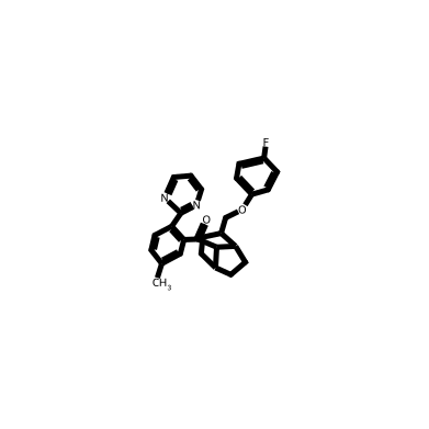 Cc1ccc(-c2ncccn2)c(C(=O)C2C3CCC(COc4ccc(F)cc4)C2CC3)c1